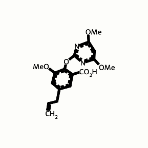 C=CCc1cc(OC)c(Oc2nc(OC)cc(OC)n2)c(C(=O)O)c1